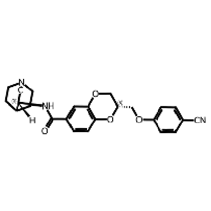 N#Cc1ccc(OC[C@H]2COc3cc(C(=O)N[C@H]4CN5CCC4CC5)ccc3O2)cc1